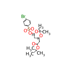 CC(C)(C)OC(=O)C[C@H]1C[C@@H](OS(=O)(=O)c2ccc(Br)cc2)OC(C)(C)O1